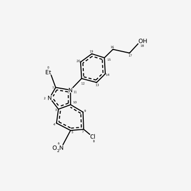 CCc1nc2cc([N+](=O)[O-])c(Cl)cc2n1-c1ccc(CCO)cc1